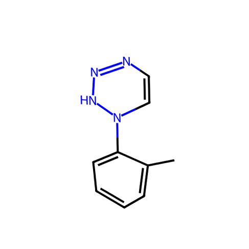 Cc1ccccc1N1C=CN=NN1